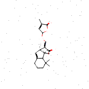 CC1=CC(O/C=C2/C(=O)O[C@]34C(=C[C@H]2[C@H]3C)CCCC4(C)C)OC1=O